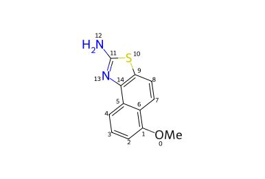 COc1cccc2c1ccc1sc(N)nc12